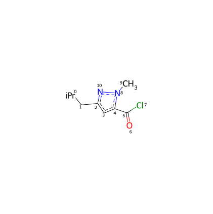 CC(C)Cc1cc(C(=O)Cl)n(C)n1